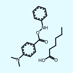 CCCCCC(=O)O.CN(C)c1ccc(C(=O)ONc2ccccc2)cc1